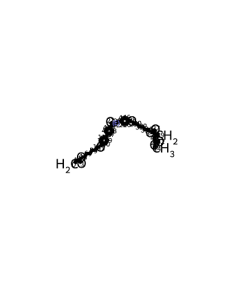 C=CC(=O)OCCCCCCOc1ccc(-c2ccc(C(=O)/C=C/c3ccc(OCCCCCCOC(=O)C(=C)CC(=O)OC)cc3)cc2)cc1